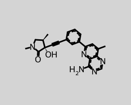 Cc1cc(-c2cccc(C#C[C@@]3(O)C(=O)N(C)C[C@H]3C)c2)nc2c(N)ncnc12